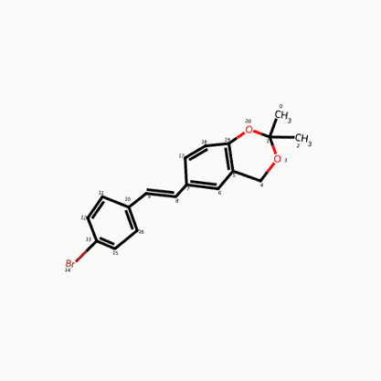 CC1(C)OCc2cc(C=Cc3ccc(Br)cc3)ccc2O1